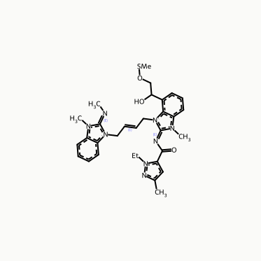 CCn1nc(C)cc1C(=O)/N=c1\n(C)c2cccc(C(O)COSC)c2n1C/C=C/Cn1/c(=N/C)n(C)c2ccccc21